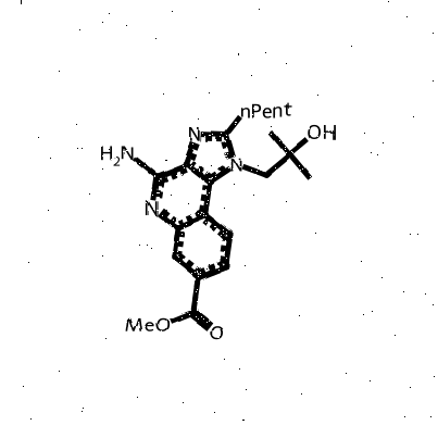 CCCCCc1nc2c(N)nc3cc(C(=O)OC)ccc3c2n1CC(C)(C)O